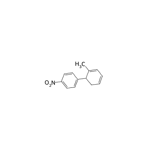 CC1=CC=CCC1c1ccc([N+](=O)[O-])cc1